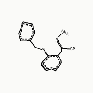 CON=C(C#N)c1ccccc1SCc1ccccc1